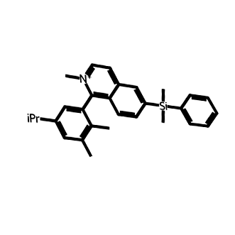 Cc1cc(C(C)C)cc(-c2c3ccc([Si](C)(C)c4ccccc4)cc3cc[n+]2C)c1C